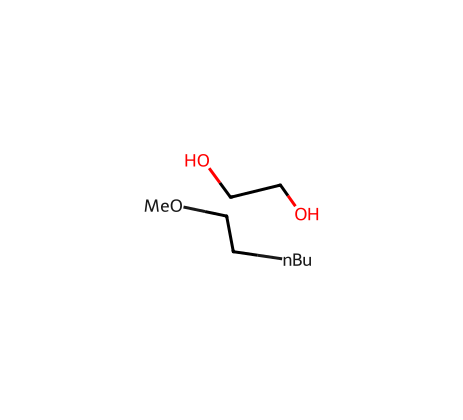 CCCCCCOC.OCCO